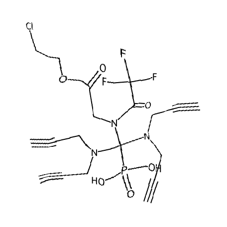 C#CCN(CC#C)C(N(CC#C)CC#C)(N(CC(=O)OCCCl)C(=O)C(F)(F)F)P(=O)(O)O